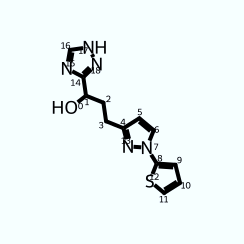 OC(CCc1ccn(-c2cccs2)n1)c1nc[nH]n1